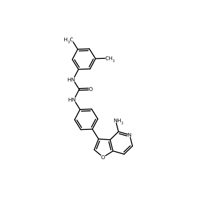 Cc1cc(C)cc(NC(=O)Nc2ccc(-c3coc4ccnc(N)c34)cc2)c1